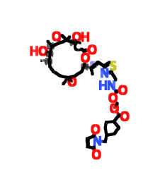 C/C(=C\c1csc(CNC(=O)OCOC(=O)C2CCC(CN3C(=O)C=CC3=O)CC2)n1)[C@@H]1CC2O[C@]2(C)CCC[C@H](C)[C@H](O)[C@@H](C)C(=O)C(C)(C)[C@@H](O)CC(=O)O1